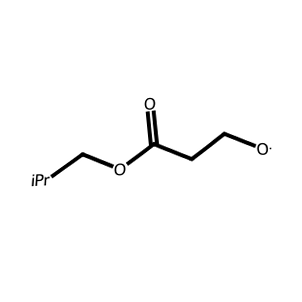 CC(C)COC(=O)CC[O]